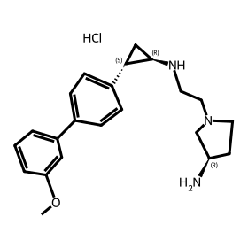 COc1cccc(-c2ccc([C@@H]3C[C@H]3NCCN3CC[C@@H](N)C3)cc2)c1.Cl